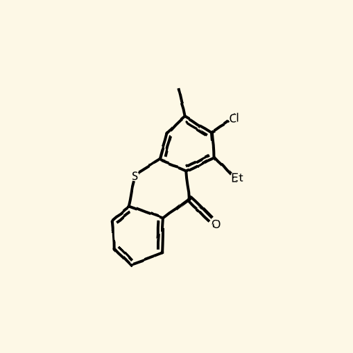 CCc1c(Cl)c(C)cc2sc3ccccc3c(=O)c12